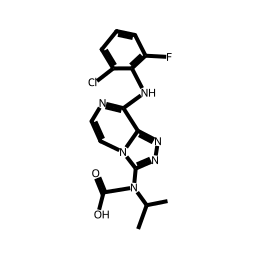 CC(C)N(C(=O)O)c1nnc2c(Nc3c(F)cccc3Cl)nccn12